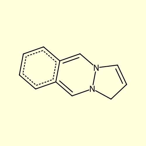 C1=CN2C=c3ccccc3=CN2C1